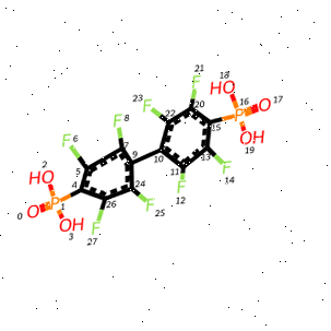 O=P(O)(O)c1c(F)c(F)c(-c2c(F)c(F)c(P(=O)(O)O)c(F)c2F)c(F)c1F